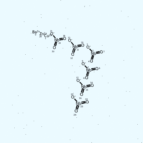 [Ba+2].[Co+2].[O]=[Nb](=[O])[O-].[O]=[Nb](=[O])[O-].[O]=[Nb](=[O])[O-].[O]=[Nb](=[O])[O-].[O]=[Nb](=[O])[O-].[O]=[Nb](=[O])[O-].[Zn+2]